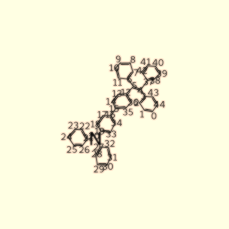 c1ccc(C(=C(c2ccccc2)c2ccc(-c3ccc(N(c4ccccc4)c4ccccc4)cc3)cc2)c2ccccc2)cc1